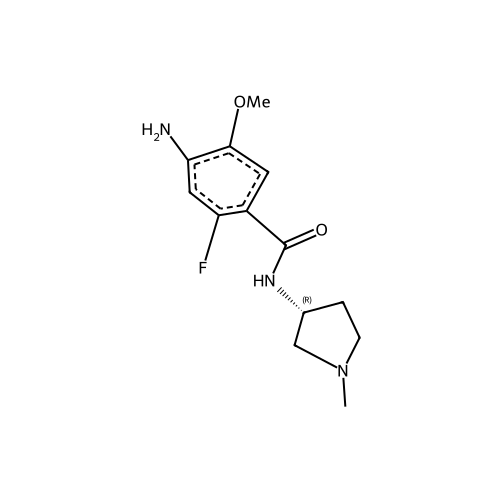 COc1cc(C(=O)N[C@@H]2CCN(C)C2)c(F)cc1N